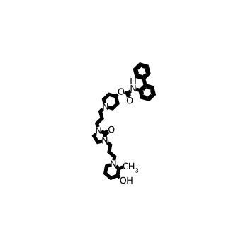 CC1C(O)CCCN1CCCN1CCN(CCCN2CCC(OC(=O)Nc3ccccc3-c3ccccc3)CC2)C1=O